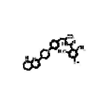 Cc1cc(C)c(C(=O)NC(Cc2ccc(N3CCC(c4ccc5c(n4)NCCC5)CC3)cc2)C(=O)O)c(C)c1